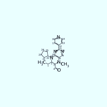 CCC1C(C=O)N(C)c2cnc(-c3ccncc3)nc2N1C1CCCC1